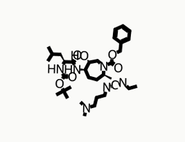 CC(C)C[C@H](NC(=O)OC(C)(C)C)C(=O)N[C@@H]1CC[C@H](C)N(C(=O)OCc2ccccc2)C[C@H]1O.CCN=C=NCCCN(C)C